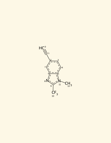 C#Cc1ccc2c(c1)nc(C(F)(F)F)n2C